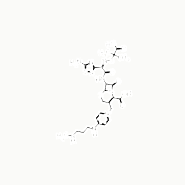 CNCCCNc1cc[n+](CC2=C(C(=O)O)N3C(=O)C(NC(=O)/C(=N\OC(C)(C)C(=O)O)c4nsc(N)n4)C3SC2)cc1